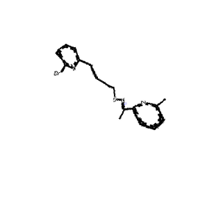 C/C(=N\OCCCc1cccc(Br)n1)c1cccc(C)n1